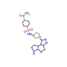 CC(=O)c1ccc(S(=O)(=O)N[C@H]2CC[C@@H](c3nnc4cnc5[nH]ccc5n34)C2)cc1